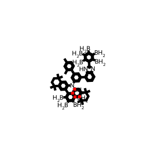 Bc1c(B)c(B)c(-c2nc3cccc(-c4cc(-c5ccc(C)cc5C)cc(N(c5ccc6c(c5)C(C)(C)CCC6(C)C)c5cc6c(cc5-c5c(B)c(B)c(B)c(B)c5B)C(C)(C)CCC6(C)C)c4)c3[nH]2)c(B)c1B